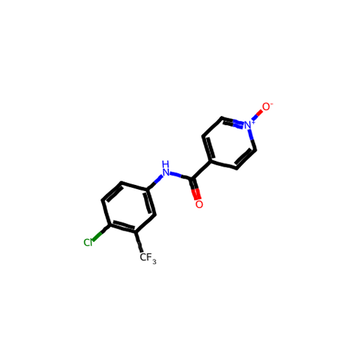 O=C(Nc1ccc(Cl)c(C(F)(F)F)c1)c1cc[n+]([O-])cc1